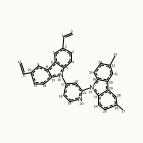 C=Cc1ccc2c(c1)c1cc(C=C)ccc1n2-c1ccnc(-n2c3ccc(C)cc3c3cc(C)ccc32)c1